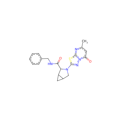 Cc1cc(=O)n2nc(N3CC4CC4C3C(=O)NCc3ccccc3)sc2n1